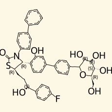 O=C1S[C@H](CC[C@H](O)c2ccc(F)cc2)[C@@H](c2ccc(-c3ccc(C4O[C@H](CO)[C@@H](O)[C@H](O)[C@H]4O)cc3)cc2O)N1c1ccc(-c2ccccc2)cc1